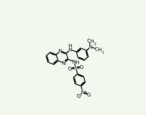 CN(C)c1cccc(Nc2nc3ccccc3nc2NS(=O)(=O)c2ccc([N+](=O)[O-])cc2)c1